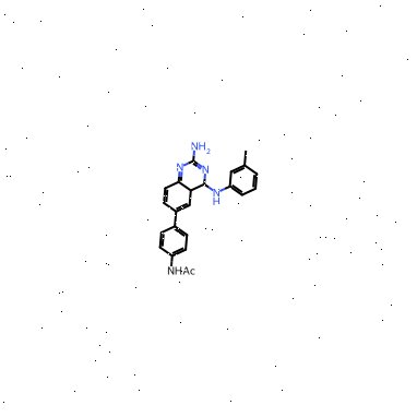 CC(=O)Nc1ccc(C2=CC3C(=NC(N)=NC3Nc3cccc(C)c3)C=C2)cc1